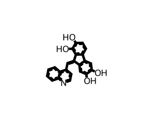 Oc1cc2c(cc1O)-c1ccc(O)c(O)c1/C2=C/c1ccnc2ccccc12